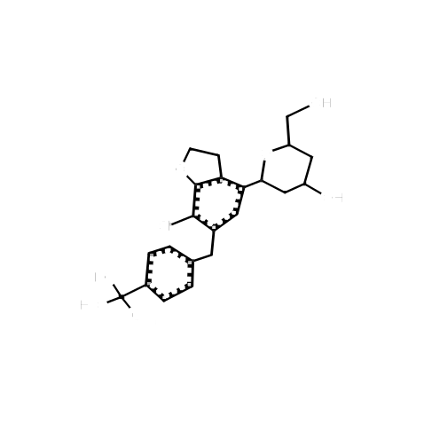 CC(C)(C)c1ccc(Cc2cc(C3CC(O)CC(CO)O3)c3c(c2Cl)OCC3)cc1